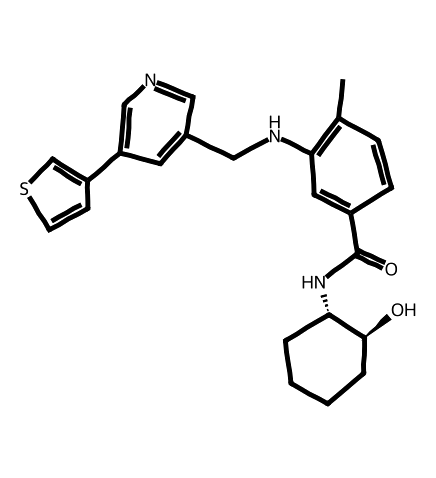 Cc1ccc(C(=O)N[C@H]2CCCC[C@@H]2O)cc1NCc1cncc(-c2ccsc2)c1